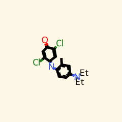 CCN(CC)c1ccc(N=C2C=C(Cl)C(=O)C=C2Cl)c(C)c1